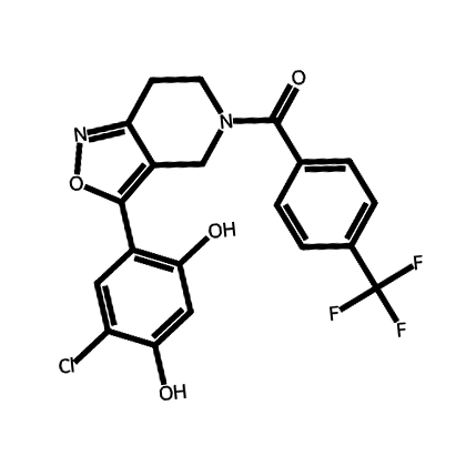 O=C(c1ccc(C(F)(F)F)cc1)N1CCc2noc(-c3cc(Cl)c(O)cc3O)c2C1